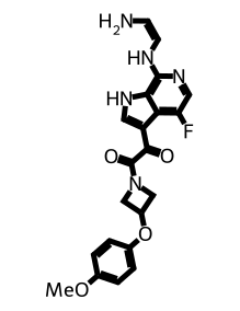 COc1ccc(OC2CN(C(=O)C(=O)c3c[nH]c4c(N/C=C\N)ncc(F)c34)C2)cc1